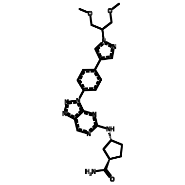 COCC(COC)n1cc(-c2ccc(-n3nnc4cnc(N[C@@H]5CC[C@@H](C(N)=O)C5)nc43)cc2)cn1